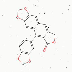 O=C1OCc2cc3cc4c(cc3c(-c3ccc5c(c3)OCO5)c21)OCO4